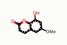 COc1cc(O)c2oc(=O)ccc2c1